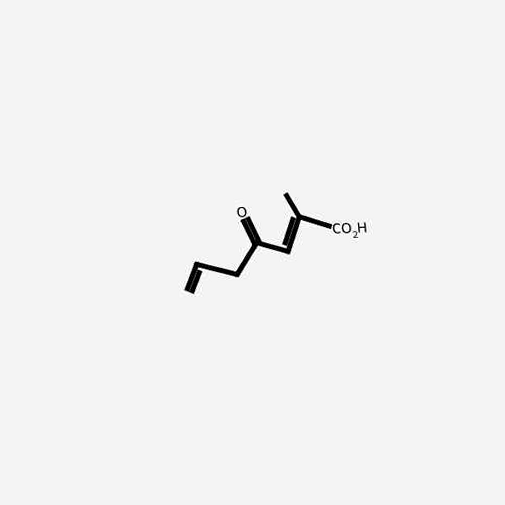 C=CCC(=O)C=C(C)C(=O)O